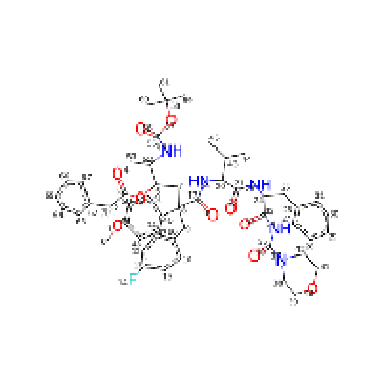 CO[C@@H](C(=O)OC(CC(Cc1ccc(F)cc1)(C(=O)NC(C(=O)NC(Cc1ccccc1)C(=O)NC(=O)N1CCOCC1)C(C)C)c1ccccc1)C(C)NC(=O)OC(C)(C)C)c1ccccc1